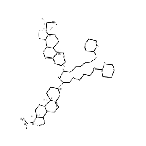 C[C@H](N)[C@H]1CCC2C3CC=C4C[C@@H](C(CCCCCOC5CCCCO5)OC(CCCCCOC5CCCCO5)[C@H]5CC[C@@]6(C)C(=CCC7C6CC[C@@]6(C)C7CC[C@@H]6[C@H](C)N)C5)CC[C@]4(C)C3CC[C@@]21C